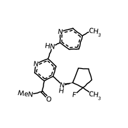 CNC(=O)c1cnc(Nc2ccc(C)cn2)cc1N[C@H]1CCCC1(C)F